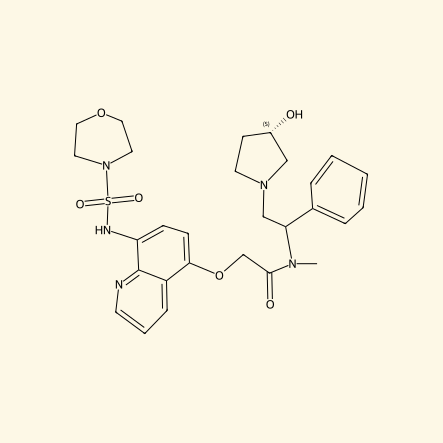 CN(C(=O)COc1ccc(NS(=O)(=O)N2CCOCC2)c2ncccc12)C(CN1CC[C@H](O)C1)c1ccccc1